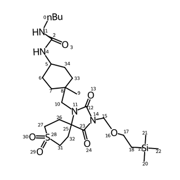 CCCCNC(=O)NC1CCC(C)(CN2C(=O)N(COCC[Si](C)(C)C)C(=O)C23CCS(=O)(=O)CC3)CC1